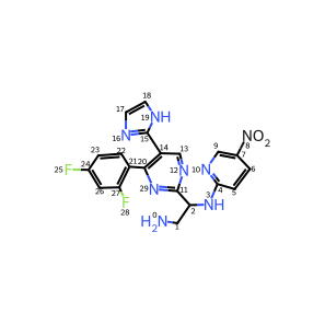 NCC(Nc1ccc([N+](=O)[O-])cn1)c1ncc(-c2ncc[nH]2)c(-c2ccc(F)cc2F)n1